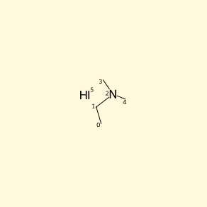 CCN(C)C.I